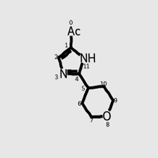 CC(=O)c1cnc(C2CCOCC2)[nH]1